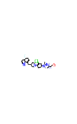 CC(=C/C=O)/N=C(/C)N(C)c1ccc(N2CCC(Cc3ccc(F)c4cccnc34)CC2)c(Cl)c1